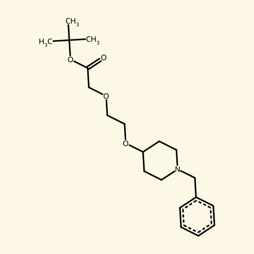 CC(C)(C)OC(=O)COCCOC1CCN(Cc2ccccc2)CC1